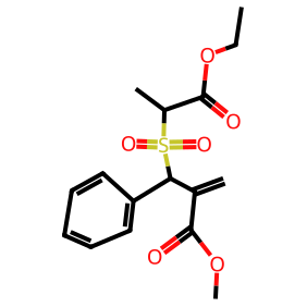 C=C(C(=O)OC)C(c1ccccc1)S(=O)(=O)C(C)C(=O)OCC